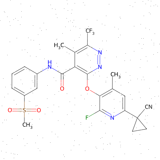 Cc1cc(C2(C#N)CC2)nc(F)c1Oc1nnc(C(F)(F)F)c(C)c1C(=O)Nc1cccc(S(C)(=O)=O)c1